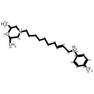 CC1CN(CCCCCCCC=CC[SiH2]c2ccc(C(F)(F)F)cc2)CC(C)O1